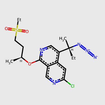 CC[C@@](C)(N=[N+]=[N-])c1cnc(O[C@@H](C)CCS(=O)(=O)CC)c2cnc(Cl)cc12